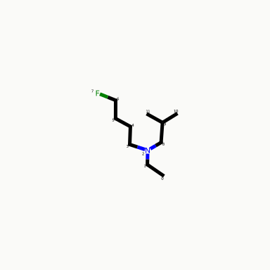 CCN(CCCCF)CC(C)C